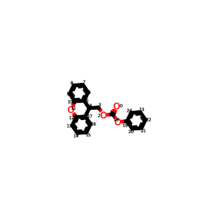 O=C(OCC1c2ccccc2Oc2ccccc21)Oc1ccccc1